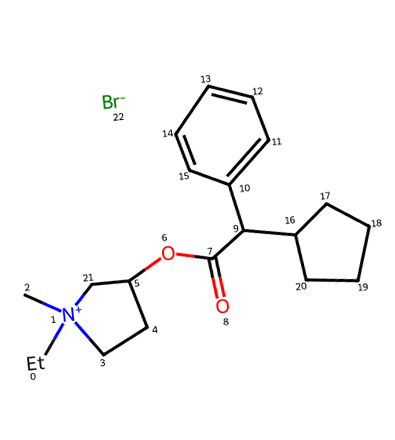 CC[N+]1(C)CCC(OC(=O)C(c2ccccc2)C2CCCC2)C1.[Br-]